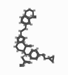 O=C(O)C[C@@H](c1ccc(OCC2CC2)nc1)N1CCn2cc(CCc3ccc4c(n3)NCCC4)cc2C1=O